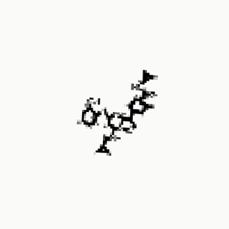 Cc1cc(-c2cnn3c(NCC4CC4)cc(/N=C4\CCCC[C@H]4O)nc23)ccc1C(=O)NC1CC1